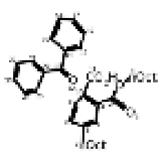 CCCCCCCCOC(=O)c1cc(CCCCCCCC)ccc1C(=O)O.O=C(c1ccccc1)c1ccccc1